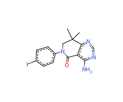 CC1(C)CN(c2ccc(I)cc2)C(=O)c2c(N)ncnc21